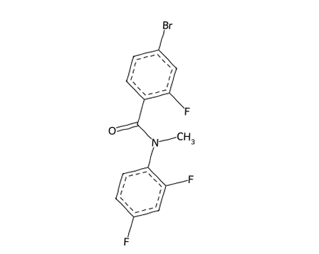 CN(C(=O)c1ccc(Br)cc1F)c1ccc(F)cc1F